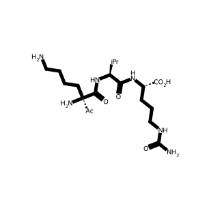 CC(=O)[C@](N)(CCCCN)C(=O)N[C@H](C(=O)N[C@@H](CCCNC(N)=O)C(=O)O)C(C)C